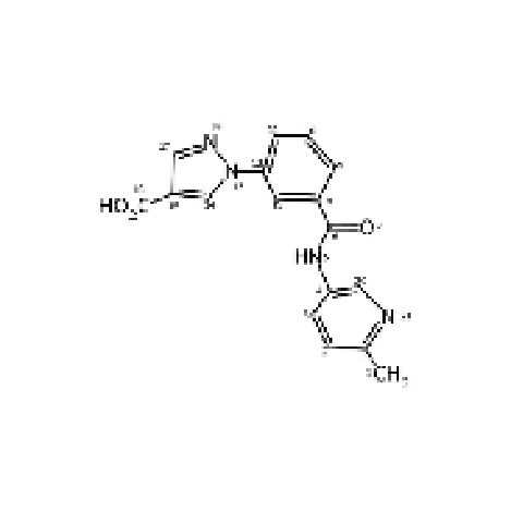 Cc1ccc(NC(=O)c2cccc(-n3cc(C(=O)O)cn3)c2)cn1